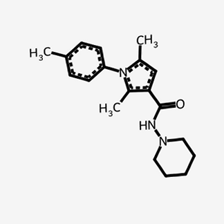 Cc1ccc(-n2c(C)cc(C(=O)NN3CCCCC3)c2C)cc1